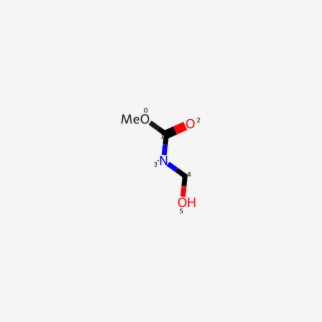 COC(=O)[N]CO